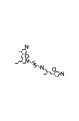 C=C/C=C(\C=C/N(C)CCSSCC/N=C/C=C(C=C)/C=C/C1CC=C(N(C)C)C=C1OC)/C=C/C1C(OC)=CC(N(C)C)=CC1C